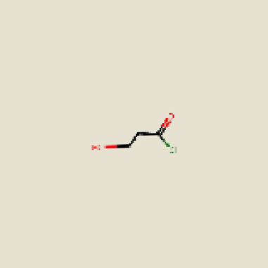 O=C(Cl)[CH]CO